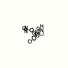 O=C1NCCCC[C@H]1N(Cc1ccc(-c2ncon2)cc1)S(=O)(=O)c1ccc(Cl)cc1